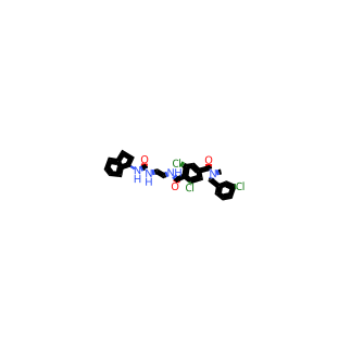 CN(Cc1cccc(Cl)c1)C(=O)c1cc(Cl)c(C(=O)NCCNC(=O)N[C@@H]2CCc3ccccc32)c(Cl)c1